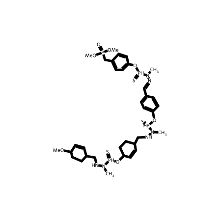 COC1C=CC(CNN(C)[PH](=S)OC2C=CC(CNN(C)[PH](=S)Oc3ccc(/C=N/N(C)[PH](=S)Oc4ccc(CP(=O)(OC)OC)cc4)cc3)CC2)CC1